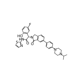 CC(C)N1CCN(c2ccc(-c3ccc4c(c3)C(=O)N([C@@H](C(=O)Nc3nccs3)c3cc(F)ccc3O)C4)cc2)CC1